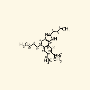 Br.CCCCc1nc2cc(CCCC)c(CCCC)c(CCCC)c2[nH]1